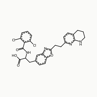 O=C(NC(Cc1ccc2oc(CCc3ccc4c(n3)NCCC4)nc2c1)C(=O)O)c1c(Cl)cccc1Cl